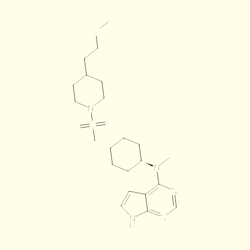 COCCC1CCN(S(=O)(=O)C[C@H]2CC[C@H](N(C)c3ncnc4[nH]ccc34)CC2)CC1